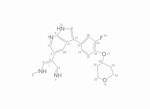 CN/C=C(\C=N)c1cnc2[nH]cc(-c3ccc(OC4CCOCC4)c(F)c3)c2c1